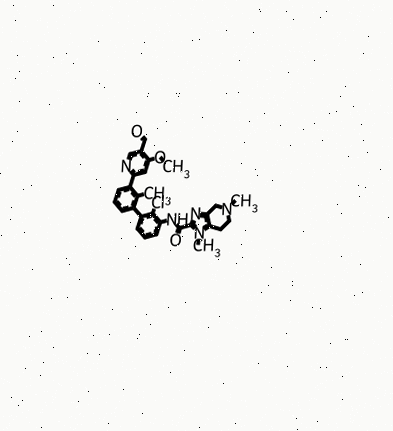 COc1cc(-c2cccc(-c3cccc(NC(=O)c4nc5c(n4C)CCN(C)C5)c3Cl)c2C)ncc1C=O